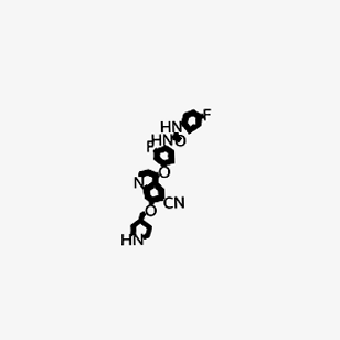 N#Cc1cc2c(Oc3ccc(NC(=O)Nc4ccc(F)cc4)c(F)c3)ccnc2cc1OCC1CCNCC1